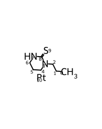 CCCN1CCCNC1=S.[Pt]